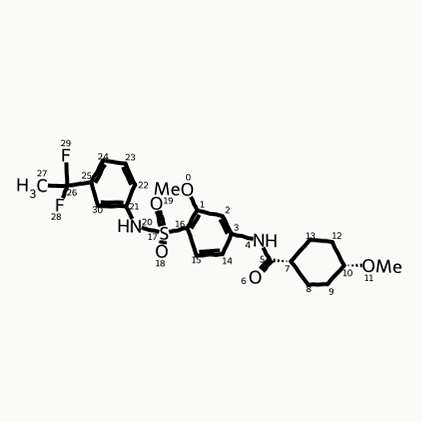 COc1cc(NC(=O)[C@H]2CC[C@@H](OC)CC2)ccc1S(=O)(=O)Nc1cccc(C(C)(F)F)c1